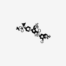 Cn1cc2cc(NC(=O)c3ccc(N4CCC(N(C(=O)OC(C)(C)C)C5CC5)CC4)c4cn(C)nc34)cc(C=O)c2n1